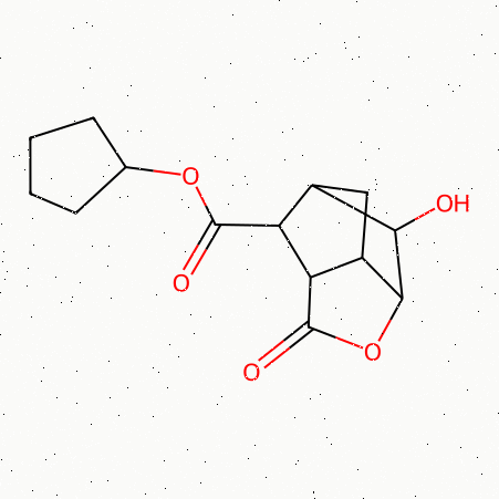 O=C(OC1CCCC1)C1C2CC3C(OC(=O)C31)C2O